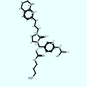 CCCCOC(=O)C[C@@H](c1ccc(OC(F)F)nc1)N1CCN(CCCc2ccc3c(n2)NCCC3)C1=O